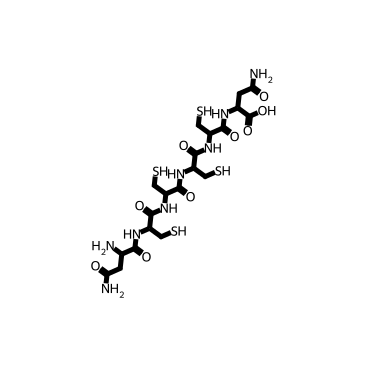 NC(=O)CC(N)C(=O)NC(CS)C(=O)NC(CS)C(=O)NC(CS)C(=O)NC(CS)C(=O)NC(CC(N)=O)C(=O)O